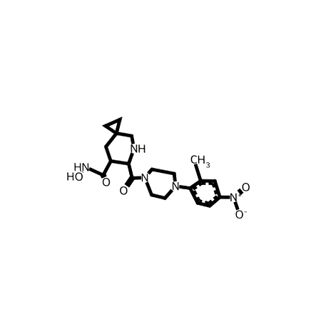 Cc1cc([N+](=O)[O-])ccc1N1CCN(C(=O)C2NCC3(CC3)CC2C(=O)NO)CC1